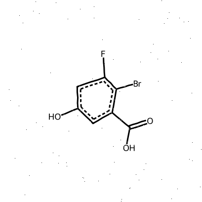 O=C(O)c1cc(O)cc(F)c1Br